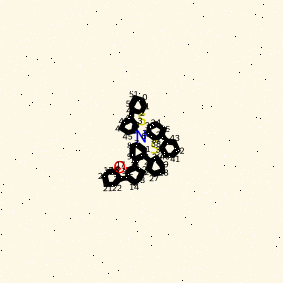 C1=CC2SC3=C(N(c4ccc(-c5cccc6c5oc5ccccc56)c(-c5ccccc5)c4)c4cccc5c4sc4ccccc45)CCC=C3C2C=C1